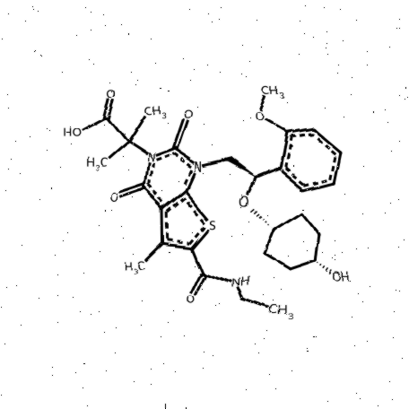 CCNC(=O)c1sc2c(c1C)c(=O)n(C(C)(C)C(=O)O)c(=O)n2C[C@H](O[C@H]1CC[C@@H](O)CC1)c1ccccc1OC